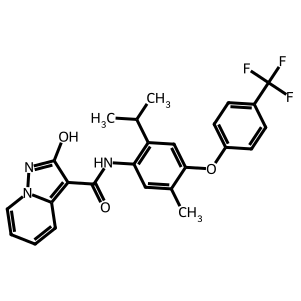 Cc1cc(NC(=O)c2c(O)nn3ccccc23)c(C(C)C)cc1Oc1ccc(C(F)(F)F)cc1